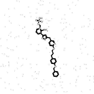 Nc1c(-c2cc(Cc3ccc(OCCCc4ccc(OCc5ccccc5)cc4)nc3)no2)ccc[n+]1COP(=O)([O-])O